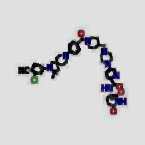 C[C@@H]1CC2(CCN(c3ccc(C(=O)N4CCC(CN5CCN(c6ccc(C(=O)N[C@H]7CCC(=O)NC7=O)nc6)CC5)CC4)cc3)CC2)CN1c1ccc(C#N)c(Cl)c1